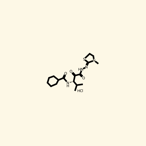 CC(C)[C@H](NC(=O)C1CCCCC1)C(=O)C(=O)NN=C1SCCN1C.Cl